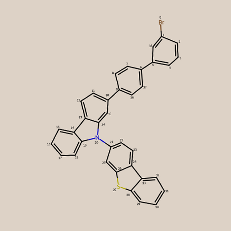 Brc1cccc(-c2ccc(-c3ccc4c5ccccc5n(-c5ccc6c(c5)sc5ccccc56)c4c3)cc2)c1